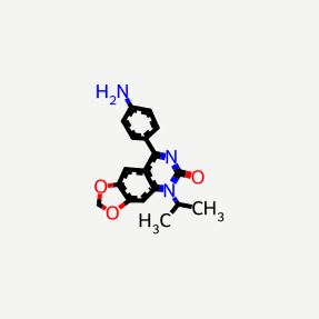 CC(C)n1c(=O)nc(-c2ccc(N)cc2)c2cc3c(cc21)OCO3